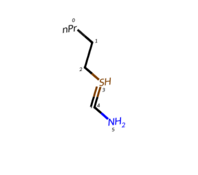 CCCCC[SH]=[C]N